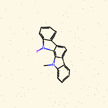 Cn1c2ccccc2c2ccc3c4ccccc4n(I)c3c21